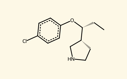 CC[C@@H](Oc1ccc(Cl)cc1)[C@@H]1CCNC1